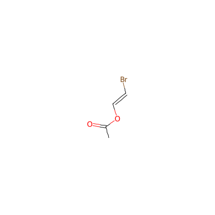 CC(=O)OC=CBr